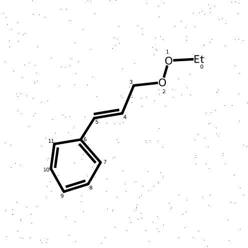 CCOOC/C=C/c1ccccc1